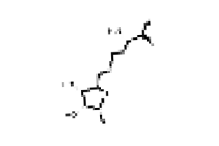 C[C@@H]1O[C@H](CSCC[C@H](N)C(=O)O)[C@@H](O)[C@H]1O